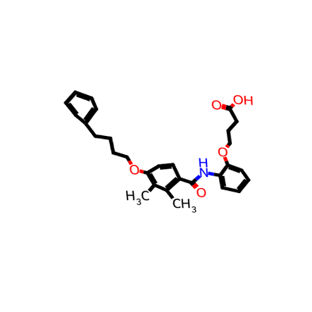 Cc1c(OCCCCc2ccccc2)ccc(C(=O)Nc2ccccc2OCCCC(=O)O)c1C